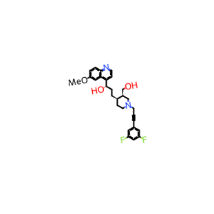 COc1ccc2nccc([C@@H](O)CC[C@@H]3CCN(CC#Cc4cc(F)cc(F)c4)C[C@@H]3CO)c2c1